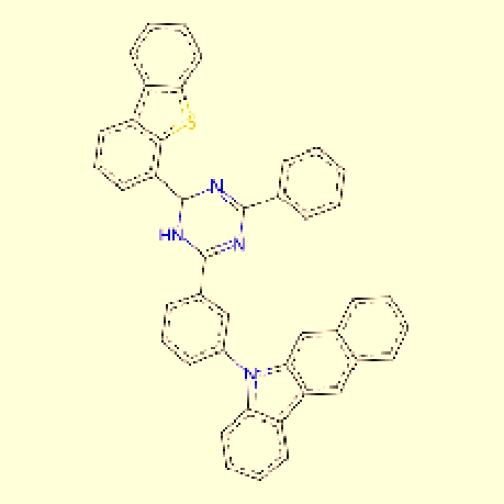 c1ccc(C2=NC(c3cccc4c3sc3ccccc34)NC(c3cccc(-n4c5ccccc5c5cc6ccccc6cc54)c3)=N2)cc1